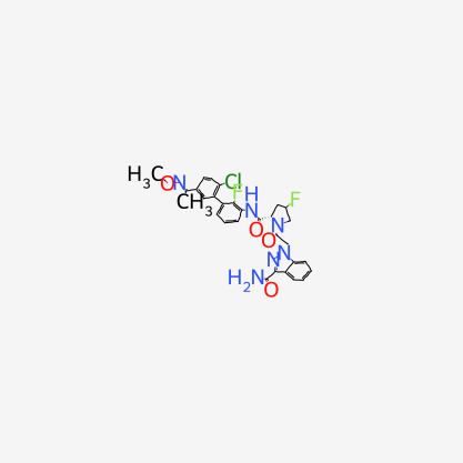 CO/N=C(\C)c1ccc(Cl)c(-c2cccc(NC(=O)[C@@H]3C[C@@H](F)CN3C(=O)Cn3nc(C(N)=O)c4ccccc43)c2F)c1